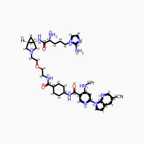 CC(C)Nc1cc(-n2ccc3cc(C#N)cnc32)ncc1C(=O)NC1CCC(C(=O)NCCOCCN2C[C@H]3C[C@@]3(NC(=O)[C@@H](N)CCCn3ccnc3N)C2)CC1